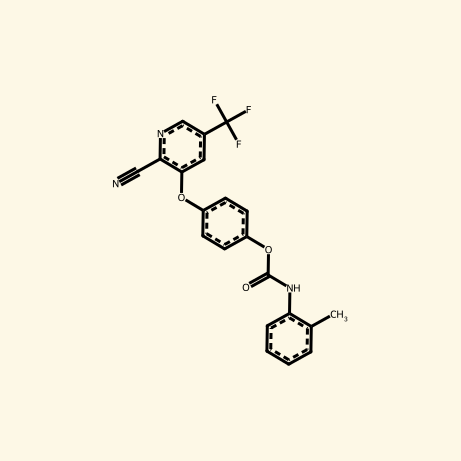 Cc1ccccc1NC(=O)Oc1ccc(Oc2cc(C(F)(F)F)cnc2C#N)cc1